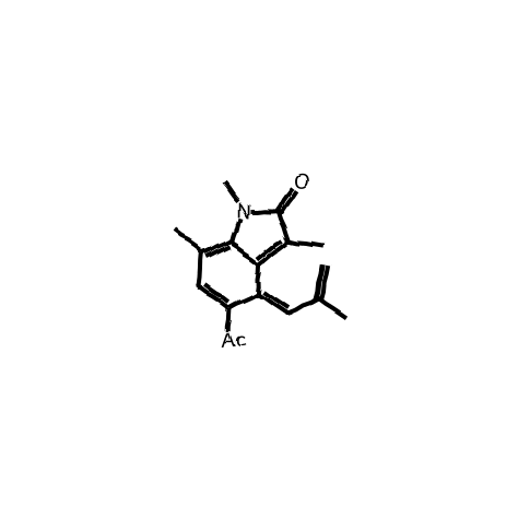 C=C(C)/C=c1/c(C(C)=O)cc(C)c2c1=C(C)C(=O)N2C